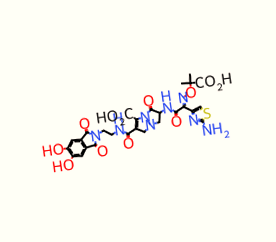 CC(C)(ON=C(C(=O)NC1CN2CC(C(=O)NCCN3C(=O)c4cc(O)c(O)cc4C3=O)=C(C(=O)O)N2C1=O)c1csc(N)n1)C(=O)O